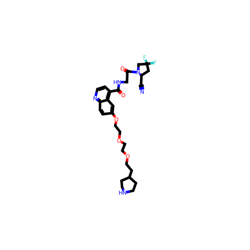 N#CC1CC(F)(F)CN1C(=O)CNC(=O)c1ccnc2ccc(OCCOCCOCCC3CCNCC3)cc12